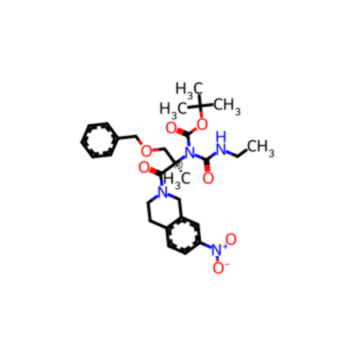 CCNC(=O)N(C(=O)OC(C)(C)C)[C@](C)(COCc1ccccc1)C(=O)N1CCc2ccc([N+](=O)[O-])cc2C1